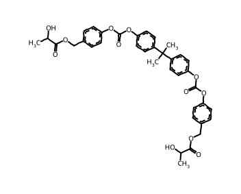 CC(O)C(=O)OCc1ccc(OC(=O)Oc2ccc(C(C)(C)c3ccc(OC(=O)Oc4ccc(COC(=O)C(C)O)cc4)cc3)cc2)cc1